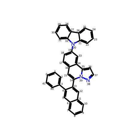 c1ccc(-c2cc3ccccc3cc2-c2cc3ccc(-n4c5ccccc5c5ccccc54)cc3c3ccnn23)cc1